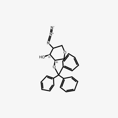 [N-]=[N+]=NC1COC[C@@H](OC(c2ccccc2)(c2ccccc2)c2ccccc2)[C@H]1O